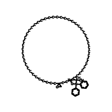 CC(C)(C)[Si](OC1CCCCCCCCCCCCCCCCCCCCCCCCCCCCCCCCCCCCCCCCCCCCCCCCC2(CC1)CO2)(c1ccccc1)c1ccccc1